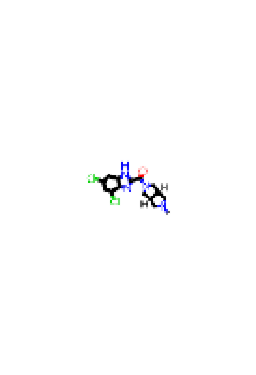 CN1C[C@@H]2CN(C(=O)c3nc4c(Cl)cc(Cl)cc4[nH]3)C[C@@H]2C1